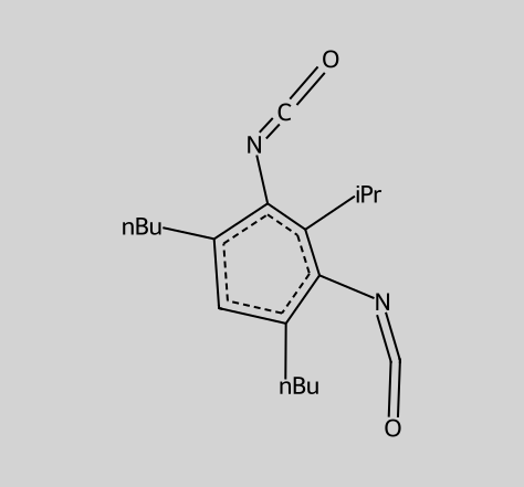 CCCCc1cc(CCCC)c(N=C=O)c(C(C)C)c1N=C=O